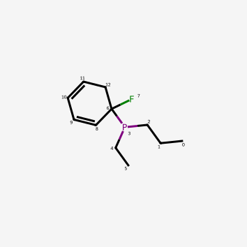 CCCP(CC)C1(F)C=CC=CC1